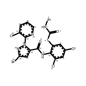 CC(C)NC(=O)Sc1cc(Cl)cc(Cl)c1NC(=O)c1cc(Br)nn1-c1ncccc1Cl